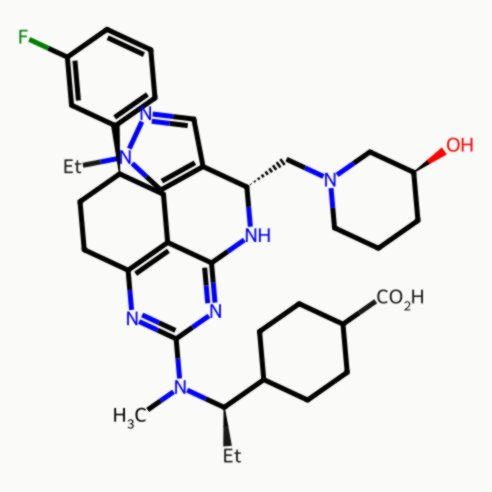 CC[C@H](C1CCC(C(=O)O)CC1)N(C)c1nc2c(c(N[C@@H](CN3CCC[C@H](O)C3)c3cnn(CC)c3)n1)C[C@H](c1cccc(F)c1)CC2